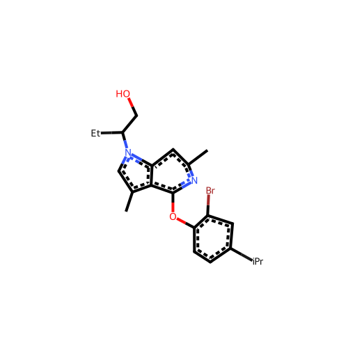 CCC(CO)n1cc(C)c2c(Oc3ccc(C(C)C)cc3Br)nc(C)cc21